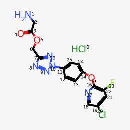 Cl.NCC(=O)OCc1nnn(-c2ccc(Oc3ncc(Cl)cc3F)cc2)n1